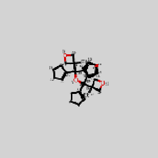 CCC1(C(OC(C2=CCCC2)(C2=CCCC2)C2(CC)COC2)(C2=CCCC2)C2=CCCC2)COC1